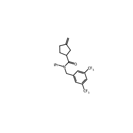 C=C1CCC(C(=O)N(Cc2cc(C(F)(F)F)cc(C(F)(F)F)c2)C(C)C)C1